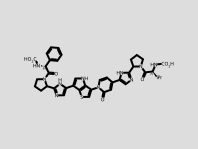 CC(C)[C@H](NC(=O)O)C(=O)N1CCCC1c1ncc(-c2ccn(-c3csc4c(-c5cnc(C6CCCN6C(=O)[C@H](NC(=O)O)c6ccccc6)[nH]5)c[nH]c34)c(=O)c2)[nH]1